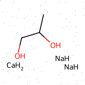 CC(O)CO.[CaH2].[NaH].[NaH]